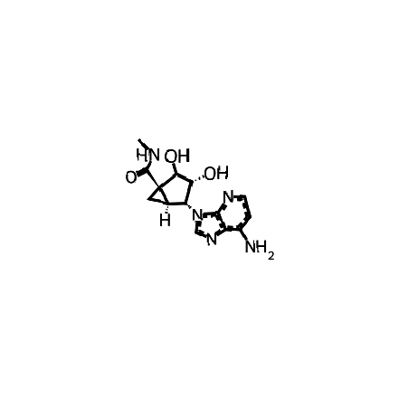 CNC(=O)[C@]12C[C@@H]1[C@@H](n1cnc3c(N)ccnc31)[C@@H](O)C2O